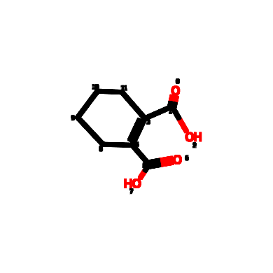 O=C(O)C1=C(C(=O)O)CC[CH]C1